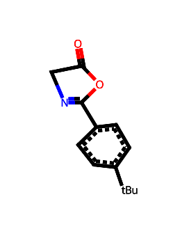 CC(C)(C)c1ccc(C2=NCC(=O)O2)cc1